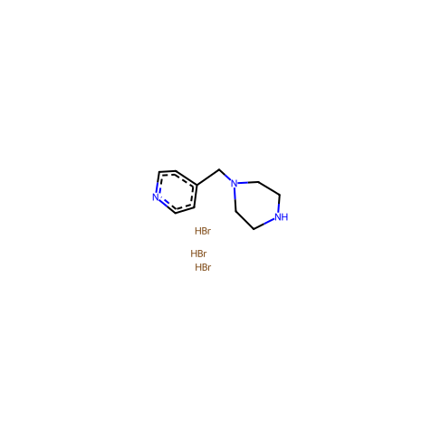 Br.Br.Br.c1cc(CN2CCNCC2)ccn1